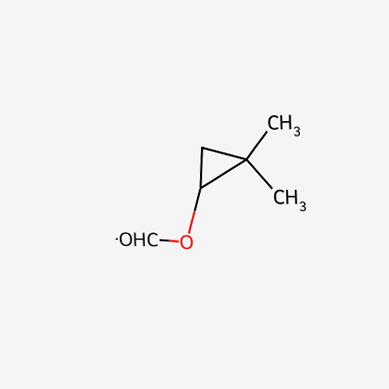 CC1(C)CC1O[C]=O